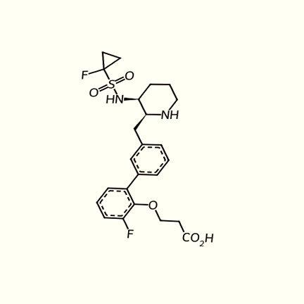 O=C(O)CCOc1c(F)cccc1-c1cccc(C[C@@H]2NCCC[C@@H]2NS(=O)(=O)C2(F)CC2)c1